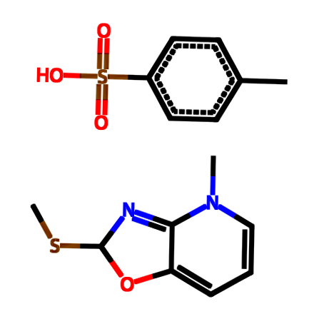 CSC1N=C2C(=CC=CN2C)O1.Cc1ccc(S(=O)(=O)O)cc1